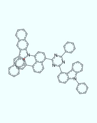 c1ccc(-c2nc(-c3ccc(-n4c5cc6ccccc6cc5c5cc6ccccc6cc54)c4c(-c5ccccc5)cccc34)nc(-c3cccc4c3c3ccccc3n4-c3ccccc3)n2)cc1